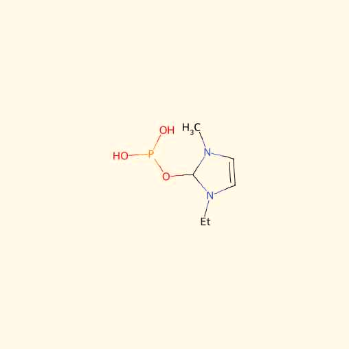 CCN1C=CN(C)C1OP(O)O